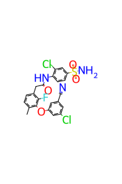 Cc1ccc(CC(=O)Nc2ccc(S(N)(=O)=O)cc2Cl)c(F)c1Oc1cc(Cl)cc(C#N)c1